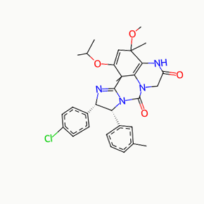 COC1(C)C=C(OC(C)C)C2(C)C3=N[C@@H](c4ccc(Cl)cc4)[C@@H](c4cccc(C)c4)N3C(=O)N3CC(=O)NC1=C32